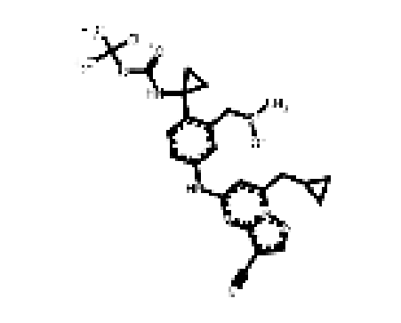 C[S+]([O-])Cc1cc(Nc2cc(CC3CC3)n3ncc(C#N)c3n2)ccc1C1(NC(=O)OC(C)(C)C)CC1